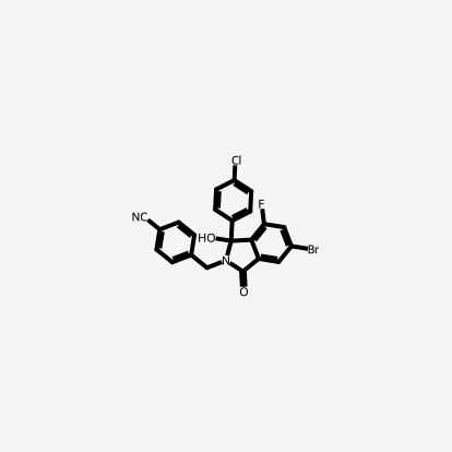 N#Cc1ccc(CN2C(=O)c3cc(Br)cc(F)c3C2(O)c2ccc(Cl)cc2)cc1